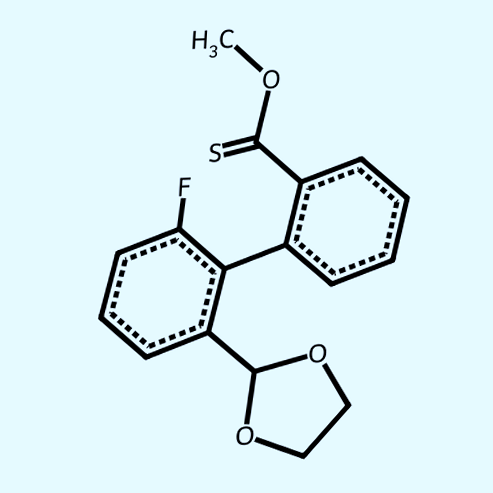 COC(=S)c1ccccc1-c1c(F)cccc1C1OCCO1